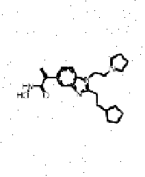 C=C(C(=O)NO)c1ccc2c(c1)nc(CCC1CCCC1)n2CCN1CCCC1